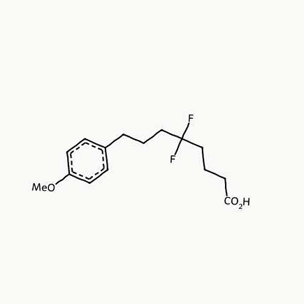 COc1ccc(CCCC(F)(F)CCCC(=O)O)cc1